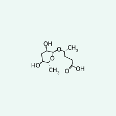 C[C@H](CCC(=O)O)O[C@H]1O[C@H](C)[C@@H](O)C[C@H]1O